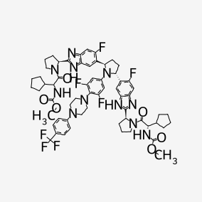 COC(=O)NC(C(=O)N1CCC[C@H]1c1nc2cc(F)c([C@H]3CC[C@H](c4cc5[nH]c([C@@H]6CCCN6C(=O)[C@@H](NC(=O)OC)C6CCCC6)nc5cc4F)N3c3cc(F)c(N4CCN(c5ccc(C(F)(F)F)cc5)CC4)c(F)c3)cc2[nH]1)C1CCCC1